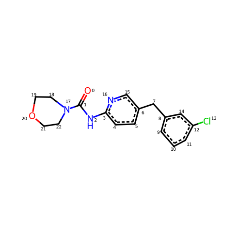 O=C(Nc1ccc(Cc2cccc(Cl)c2)cn1)N1CCOCC1